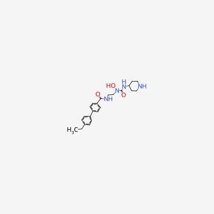 CCc1ccc(-c2ccc(C(=O)NCCN(O)C(=O)NC3CCNCC3)cc2)cc1